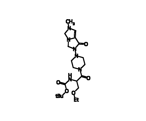 CCOCC(NC(=O)OC(C)(C)C)C(=O)N1CCN(N2CN3CN(C)C=C3C2=O)CC1